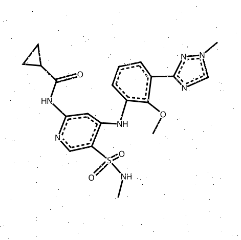 CNS(=O)(=O)c1cnc(NC(=O)C2CC2)cc1Nc1cccc(-c2ncn(C)n2)c1OC